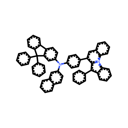 c1ccc(-c2c3ccccc3n3c2c(-c2ccc(N(c4ccc5c(c4)C(c4ccccc4)(c4ccccc4)c4ccccc4-5)c4ccc5ccccc5c4)cc2)cc2ccccc23)cc1